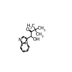 CC(C)(C)C(=O)C(O)c1cnc2ccccn12